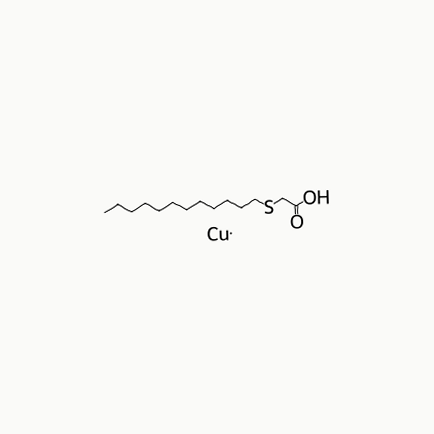 CCCCCCCCCCCCSCC(=O)O.[Cu]